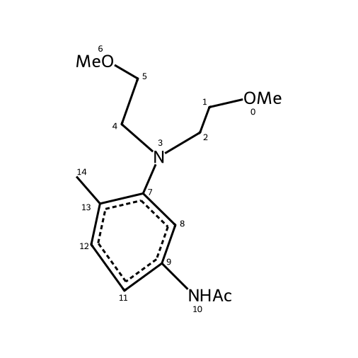 COCCN(CCOC)c1cc(NC(C)=O)ccc1C